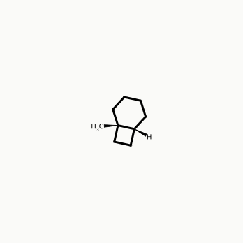 C[C@]12C[CH][C@H]1CCCC2